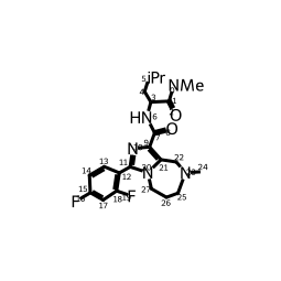 CNC(=O)C(CC(C)C)NC(=O)c1nc(-c2ccc(F)cc2F)n2c1CN(C)CCC2